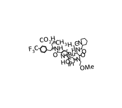 CCC(C)C(NC(=O)C1CCCCN1C)C(=O)N(CCOC)[C@H](C[C@@H](O)c1nc(C(=O)N[C@@H](Cc2ccc(C(F)(F)F)cc2)C[C@H](C)C(=O)O)cs1)C(C)C